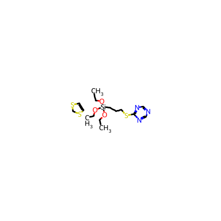 C1=CSCS1.CCO[Si](CCCSc1ncncn1)(OCC)OCC